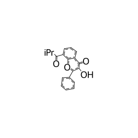 CC(C)C(=O)c1cccc2c(=O)c(O)c(-c3ccccc3)oc12